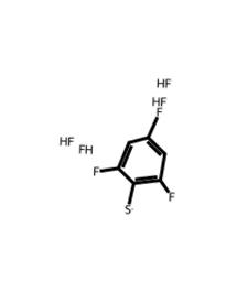 F.F.F.F.Fc1cc(F)c([S])c(F)c1